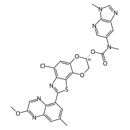 COc1cnc2c(-c3nc4c(Cl)cc5c(c4s3)OC[C@@H](OC(=O)N(C)c3cnc4c(c3)ncn4C)O5)cc(C)cc2n1